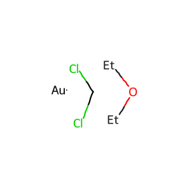 CCOCC.ClCCl.[Au]